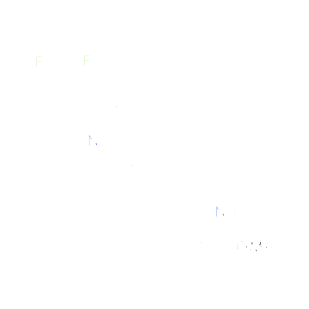 COC(=O)Nc1ccc(OCc2nc3ccc(F)c(F)c3o2)cc1